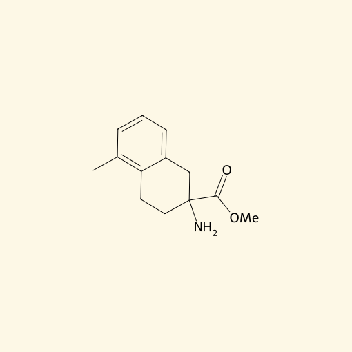 COC(=O)C1(N)CCc2c(C)cccc2C1